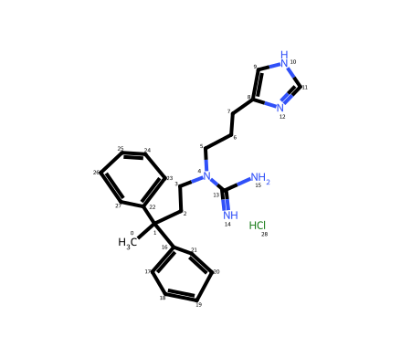 CC(CCN(CCCc1c[nH]cn1)C(=N)N)(c1ccccc1)c1ccccc1.Cl